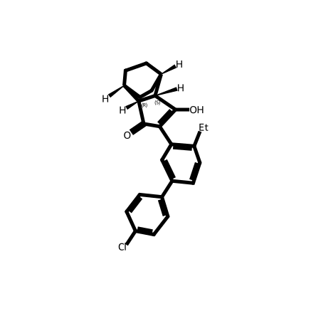 CCc1ccc(-c2ccc(Cl)cc2)cc1C1=C(O)[C@H]2[C@H]3CC[C@H](CC3)[C@H]2C1=O